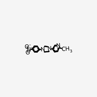 Cc1ccc(N2CCN(c3ccc([N+](=O)[O-])cc3)CC2)cn1